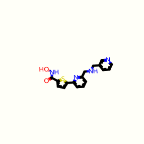 O=C(NO)c1ccc(-c2cccc(CNCc3cccnc3)n2)s1